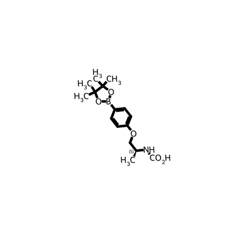 C[C@@H](COc1ccc(B2OC(C)(C)C(C)(C)O2)cc1)NC(=O)O